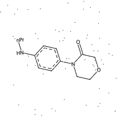 [CH2]CCNc1ccc(N2CCOCC2=O)cc1